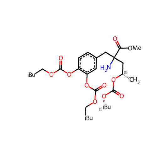 CCC(C)COC(=O)Oc1ccc(CC(N)(C[C@H](C)OC(=O)O[C@@H](C)CC)C(=O)OC)cc1OC(=O)OCC(C)CC